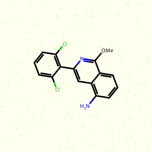 COc1nc(-c2c(Cl)cccc2Cl)cc2c(N)cccc12